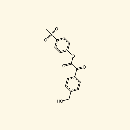 CS(=O)(=O)c1ccc(OC(=O)C(=O)c2ccc(CO)cc2)cc1